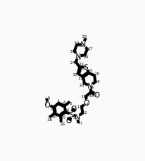 COc1cc(C)c(S(=O)(=O)N(C)CCOCC(=O)N2CCc3sc(CN4CCN(C)CC4)cc3C2)c(C)c1C